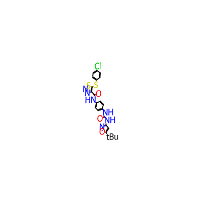 CC(C)(C)c1cc(NC(=O)Nc2ccc(NC(=O)c3nnsc3Sc3ccc(Cl)cc3)cc2)no1